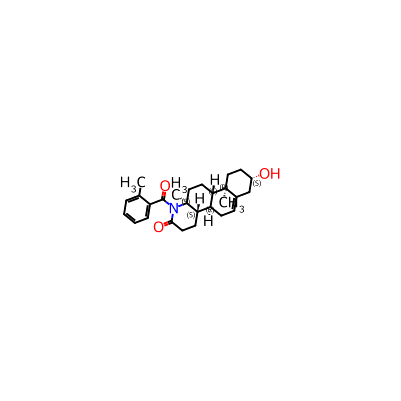 Cc1ccccc1C(=O)N1C(=O)CC[C@H]2[C@@H]3CC=C4C[C@@H](O)CC[C@]4(C)[C@H]3CC[C@@]21C